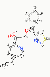 CCc1ccc(C(O)COC(=C2CSC=N2)c2ccccc2)nc1